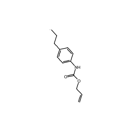 [CH2]CCc1ccc(NC(=O)OCC=C)cc1